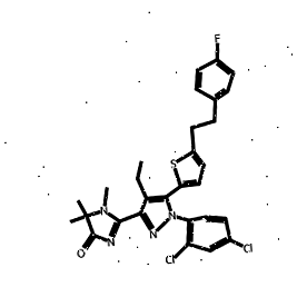 CCc1c(C2=NC(=O)C(C)(C)N2C)nn(-c2ccc(Cl)cc2Cl)c1-c1ccc(CCc2ccc(F)cc2)s1